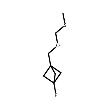 CSCOCC12CC(F)(C1)C2